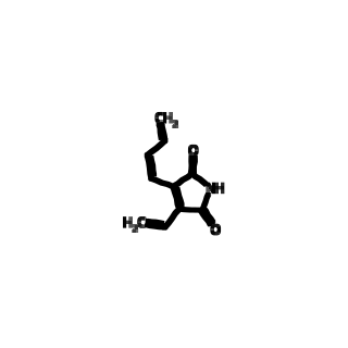 C=C/C=C\C1=C(C=C)C(=O)NC1=O